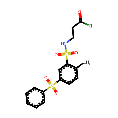 Cc1ccc(S(=O)(=O)c2ccccc2)cc1S(=O)(=O)NCCC(=O)Cl